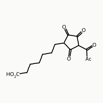 CC(=O)C(=O)C1C(=O)C(=O)C(CCCCCCC(=O)O)C1=O